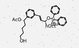 CCCCCCCC[C@@H](/C=C/c1cccc([C@H](CCCCO)OC(C)=O)c1)O[Si](c1ccccc1)(c1ccccc1)C(C)(C)C